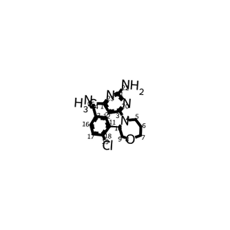 Cc1cc(N2CCCOC[C@H]2c2cc(C#N)ccc2Cl)nc(N)n1